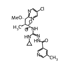 CO[C@H](c1ncc(Cl)cn1)[C@H](C)S(=O)(=O)N/C(=N/NC(=O)c1cncc(C)c1)NC1CC1